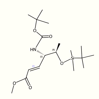 COC(=O)/C=C/[C@H](NC(=O)OC(C)(C)C)[C@@H](C)O[Si](C)(C)C(C)(C)C